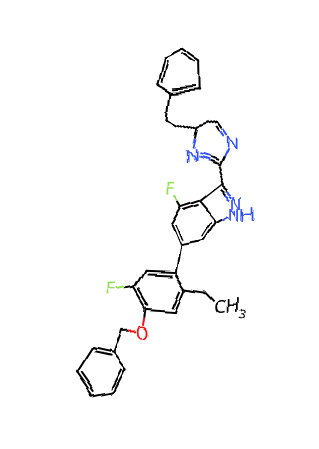 CCc1cc(OCc2ccccc2)c(F)cc1-c1cc(F)c2c(C3=NC(Cc4ccccc4)C=N3)n[nH]c2c1